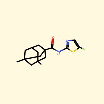 CC12CC3CC(C)(C1)CC(C(=O)Nc1ncc(F)s1)(C3)C2